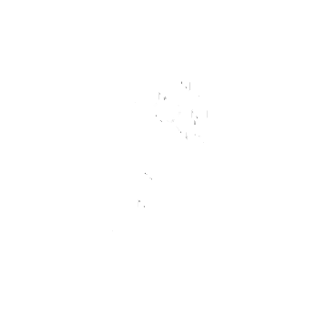 CCCCOc1nc(N)c2[nH]c(=O)n(CCCCN3CCN(CCO)CC3)c2n1